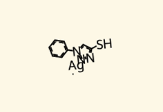 Sc1cn(-c2ccccc2)nn1.[Ag]